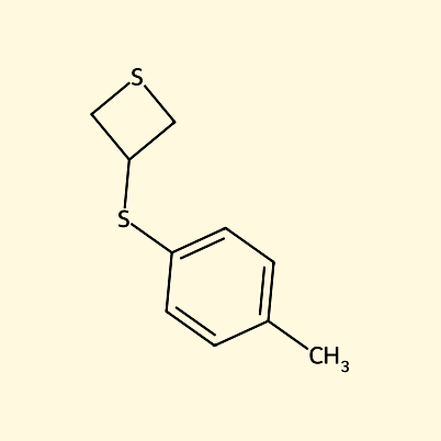 Cc1ccc(SC2CSC2)cc1